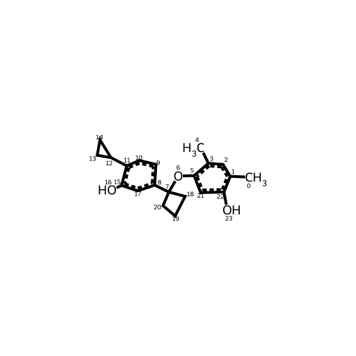 Cc1cc(C)c(OC2(c3ccc(C4CC4)c(O)c3)CCC2)cc1O